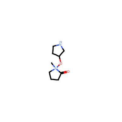 C[N+]1(OC2CCNC2)CCCC1=O